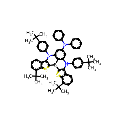 CC(C)(C)c1ccc(N2c3cc(N(c4ccccc4)c4ccccc4)cc4c3B(c3sc5c(C(C)(C)C)cccc5c32)c2sc3c(C(C)(C)C)cccc3c2N4c2ccc(C(C)(C)C)cc2)cc1